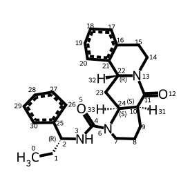 CC[C@@H](NC(=O)N1CCC[C@@H]2C(=O)N3CCc4ccccc4[C@H]3C[C@@H]21)c1ccccc1